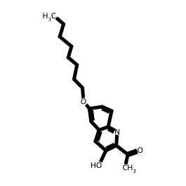 CCCCCCCCOc1ccc2nc(C(C)=O)c(O)cc2c1